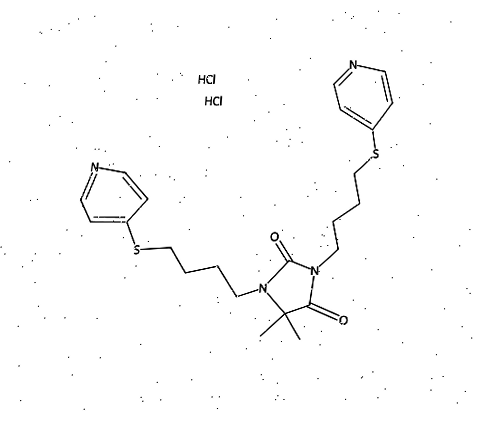 CC1(C)C(=O)N(CCCCSc2ccncc2)C(=O)N1CCCCSc1ccncc1.Cl.Cl